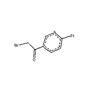 CCc1ccc(C(=O)CBr)cn1